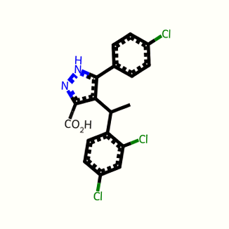 CC(c1ccc(Cl)cc1Cl)c1c(C(=O)O)n[nH]c1-c1ccc(Cl)cc1